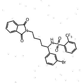 O=C1c2ccccc2C(=O)N1CCCCC(NS(=O)(=O)c1ccccc1C(F)(F)F)c1cccc(Br)c1